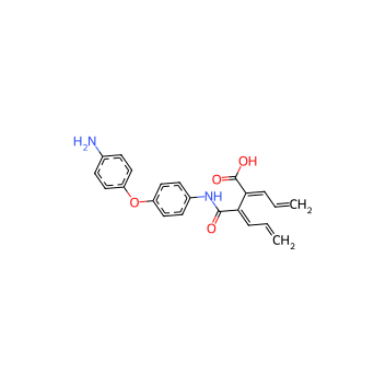 C=C/C=C(C(=O)O)\C(=C/C=C)C(=O)Nc1ccc(Oc2ccc(N)cc2)cc1